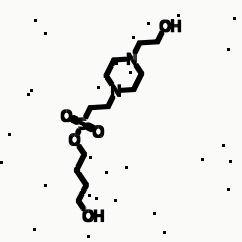 O=S(=O)(CCN1CCN(CCO)CC1)OCCCCO